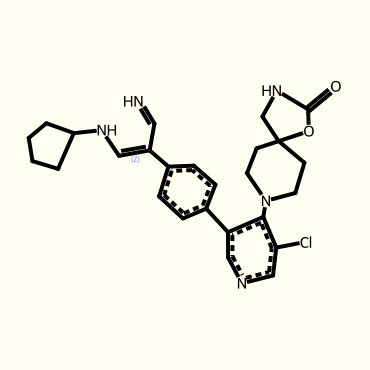 N=C/C(=C\NC1CCCC1)c1ccc(-c2cncc(Cl)c2N2CCC3(CC2)CNC(=O)O3)cc1